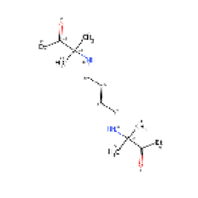 CCC(=O)C(C)(C)NCCCCNC(C)(C)C(=O)CC